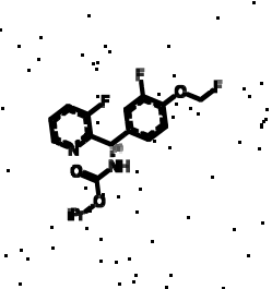 CC(C)OC(=O)N[C@@H](c1ccc(OCF)c(F)c1)c1ncccc1F